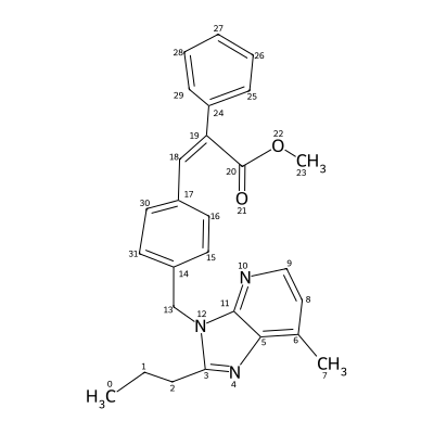 CCCc1nc2c(C)ccnc2n1Cc1ccc(C=C(C(=O)OC)c2ccccc2)cc1